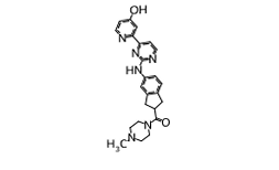 CN1CCN(C(=O)C2Cc3ccc(Nc4nccc(-c5cc(O)ccn5)n4)cc3C2)CC1